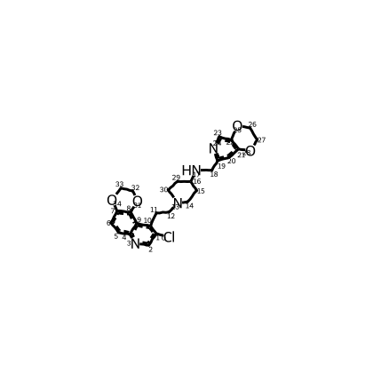 Clc1cnc2ccc3c(c2c1CCN1CCC(NCc2cc4c(cn2)OCCO4)CC1)OCCO3